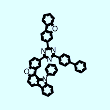 c1ccc(-c2ccc(-c3nc(-c4ccc5c(c4)oc4ccccc45)nc(-c4ccc5oc6ccc7c8ccccc8n(-c8ccccc8)c7c6c5c4)n3)cc2)cc1